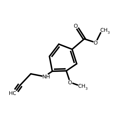 C#CCNc1ccc(C(=O)OC)cc1OC